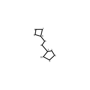 C1CCC(CCC2CCC2)C1